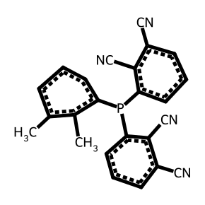 Cc1cccc(P(c2cccc(C#N)c2C#N)c2cccc(C#N)c2C#N)c1C